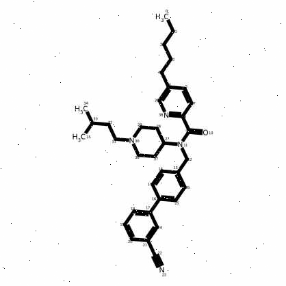 CCCCCc1ccc(C(=O)N(Cc2ccc(-c3cccc(C#N)c3)cc2)C2CCN(CCC(C)C)CC2)nc1